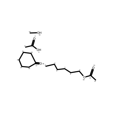 CC(=O)O.CCCCCCOC(C)=O.CO.O=C1CCCCC1